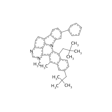 Cc1c2cc(CC(C)(C)C)ccc2c(CC(C)(C)C)c2c1c1c3c(ccc4c5ccc(-c6ccccc6)cc5n2c43)nc[n+]1C